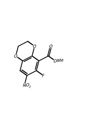 COC(=O)c1c(F)c([N+](=O)[O-])cc2c1OCCO2